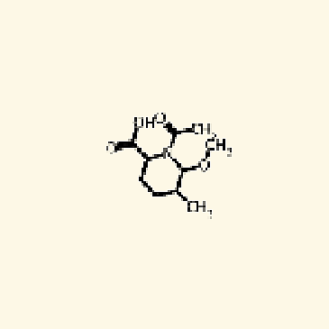 COC1C(C)CCC(C(=O)O)N1C(C)=O